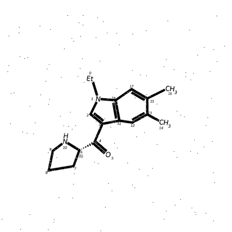 CCn1cc(C(=O)[C@@H]2CCCN2)c2cc(C)c(C)cc21